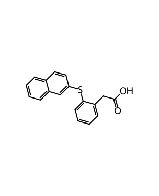 O=C(O)Cc1ccccc1Sc1ccc2ccccc2c1